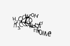 CONc1nc(Cl)nc2c1cnn2[C@@H]1O[C@H](CO)[C@H]2OC(C)(C)O[C@H]21